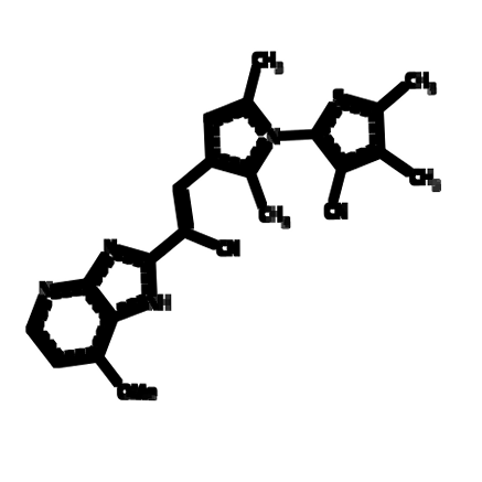 COc1ccnc2nc(C(C#N)=Cc3cc(C)n(-c4sc(C)c(C)c4C#N)c3C)[nH]c12